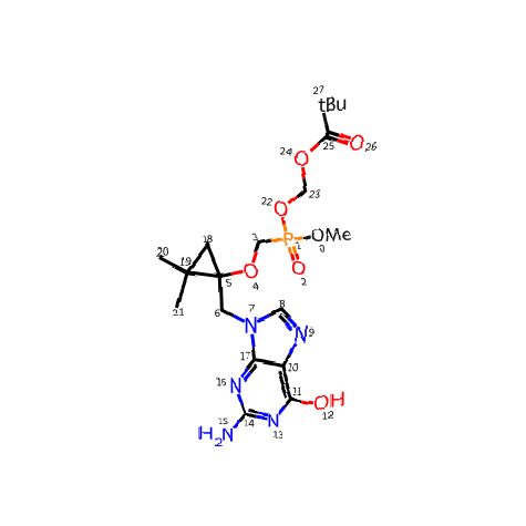 [CH2]OP(=O)(COC1(Cn2cnc3c(O)nc(N)nc32)CC1(C)C)OCOC(=O)C(C)(C)C